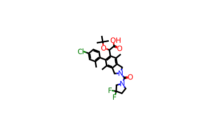 Cc1cc(Cl)ccc1-c1c(C)c2c(c(C)c1C(OC(C)(C)C)C(=O)O)CN(C(=O)N1CCC(F)(F)C1)C2